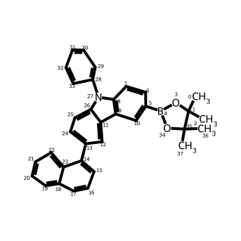 CC1(C)OB(c2ccc3c(c2)c2cc(-c4cccc5ccccc45)ccc2n3-c2ccccc2)OC1(C)C